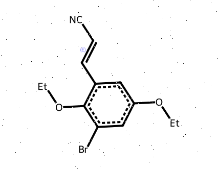 CCOc1cc(Br)c(OCC)c(/C=C/C#N)c1